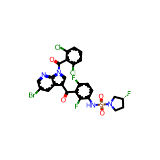 O=C(c1c(F)ccc(NS(=O)(=O)N2CC[C@@H](F)C2)c1F)c1cn(C(=O)c2c(Cl)cccc2Cl)c2ncc(Br)cc12